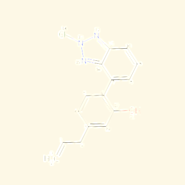 C=CCc1ccc(-c2cccc3nn(Cl)nc23)c(O)c1